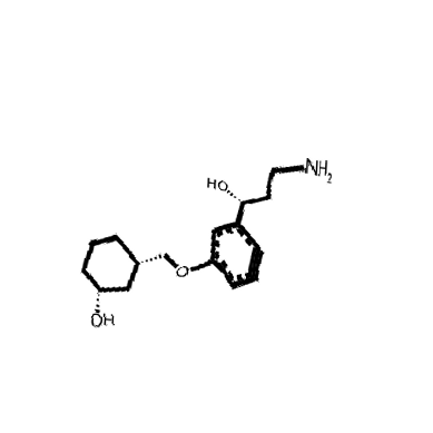 NCC[C@@H](O)c1c#ccc(OC[C@H]2CCC[C@@H](O)C2)c1